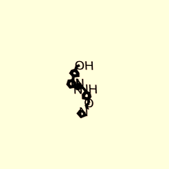 OCc1ccc(-c2cccc3nc(Nc4ccc(OCCN5CCCC5)cc4)nn23)cc1